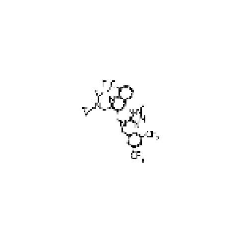 Cn1nnc(N(Cc2cc(C(F)(F)F)cc(C(F)(F)F)c2)Cc2cc3cccc(C(F)(F)F)c3nc2CN(C2CC2)C2CC2)n1